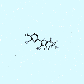 CCS(=O)(=O)Nc1oc(-c2ccc(Cl)c(Cl)c2)c(O)c1O